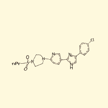 CCCS(=O)(=O)N1CCN(c2ccc(-c3nc(-c4ccc(Cl)cc4)c[nH]3)cn2)CC1